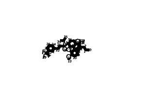 C=CCN1CC[C@]23c4c5ccc(OC)c4OC2C(N(C(=O)/C=C/c2cccc(C(F)(F)F)c2)C(C)C)CC[C@@]3(O)[C@H]1C5